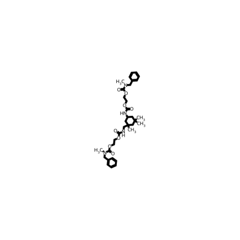 CN(Cc1ccccc1)C(=O)OCCOC(=O)NCC1(C)CC(NC(=O)OCCOC(=O)N(C)Cc2ccccc2)CC(C)(C)C1